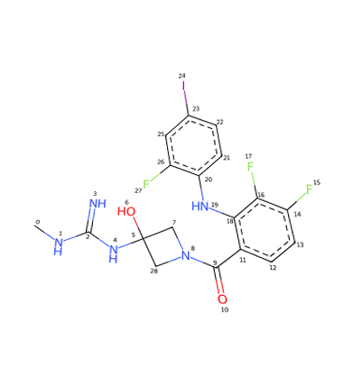 CNC(=N)NC1(O)CN(C(=O)c2ccc(F)c(F)c2Nc2ccc(I)cc2F)C1